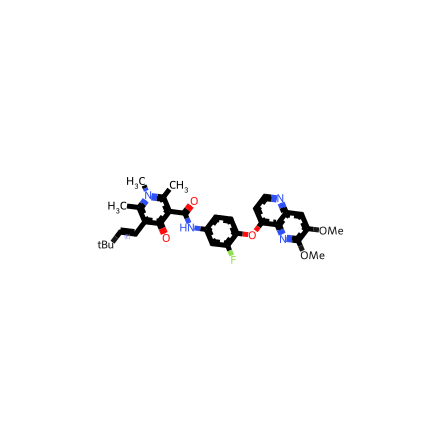 COc1cc2nccc(Oc3ccc(NC(=O)c4c(C)n(C)c(C)c(/C=C/C(C)(C)C)c4=O)cc3F)c2nc1OC